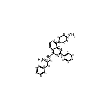 CN1CCN(c2nccc3c(NCC(N)Cc4ccccc4)nc(-c4ccncc4)nc23)CC1